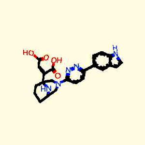 O=C(O)C=C(C(=O)O)C12CCCC(CN(c3ccc(-c4ccc5[nH]ccc5c4)nn3)C1)N2